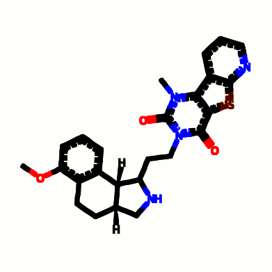 COc1cccc2c1CC[C@H]1CNC(CCn3c(=O)c4sc5ncccc5c4n(C)c3=O)[C@@H]21